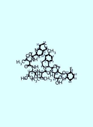 Cc1ccc2c(c1)CCN(C(=O)C(NC(=O)C(CC(=O)O)NC(=O)C(NC(=O)c1ccc3ccccc3n1)C(C)C)C(C)C)[C@@H]2C(=O)NC(CC(=O)O)C(=O)COc1c(F)cccc1F